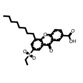 CCCCCCCCc1cc(S(=O)(=O)CC)cc2c(=O)c3cc(C(=O)O)ccc3oc12